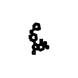 O=S1(=O)CCn2c(Cl)cc(-c3ccc(Oc4ccccc4)nc3)c2N1